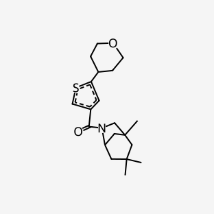 CC1(C)CC2CC(C)(CN2C(=O)c2csc(C3CCOCC3)c2)C1